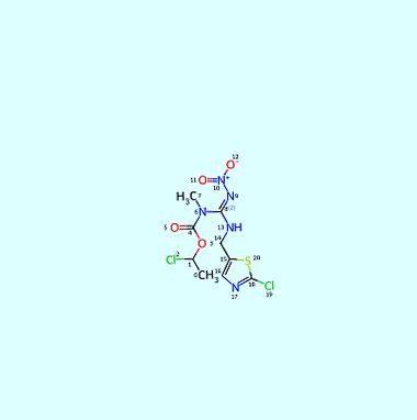 CC(Cl)OC(=O)N(C)/C(=N\[N+](=O)[O-])NCc1cnc(Cl)s1